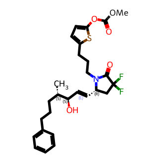 COC(=O)Oc1ccc(CCCN2C(=O)C(F)(F)C[C@@H]2/C=C/[C@@H](O)[C@@H](C)CCCc2ccccc2)s1